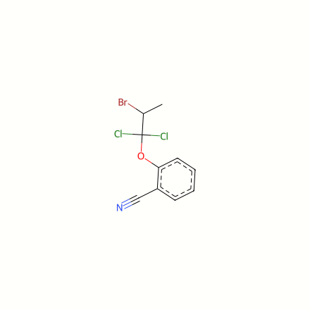 CC(Br)C(Cl)(Cl)Oc1ccccc1C#N